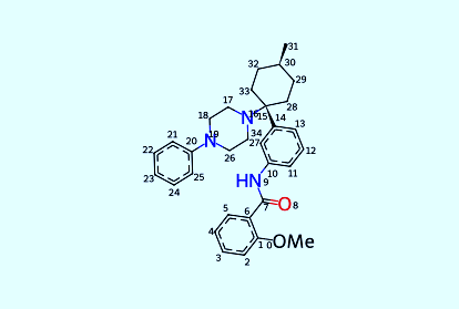 COc1ccccc1C(=O)Nc1cccc([C@]2(N3CCN(c4ccccc4)CC3)CC[C@H](C)CC2)c1